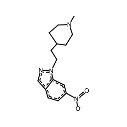 CN1CCC(CCn2ncc3ccc([N+](=O)[O-])cc32)CC1